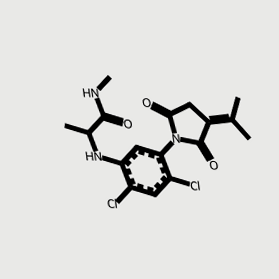 CNC(=O)C(C)Nc1cc(N2C(=O)CC(=C(C)C)C2=O)c(Cl)cc1Cl